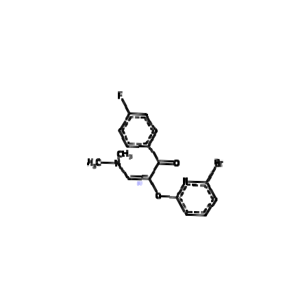 CN(C)/C=C(/Oc1cccc(Br)n1)C(=O)c1ccc(F)cc1